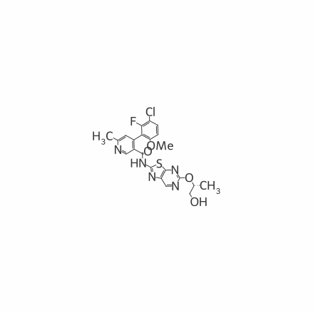 COc1ccc(Cl)c(F)c1-c1cc(C)ncc1C(=O)Nc1nc2cnc(O[C@H](C)CO)nc2s1